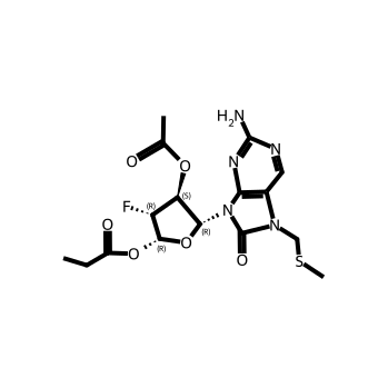 CCC(=O)O[C@H]1O[C@@H](n2c(=O)n(CSC)c3cnc(N)nc32)[C@H](OC(C)=O)[C@H]1F